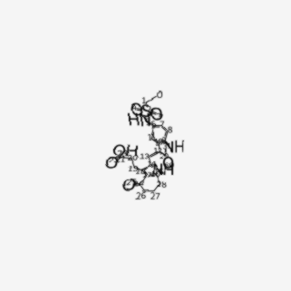 CCS(=O)(=O)Nc1ccc2c(c1)/C(=C/c1[nH]c3c(c1CCC(=O)O)C(=O)CCC3)C(=O)N2